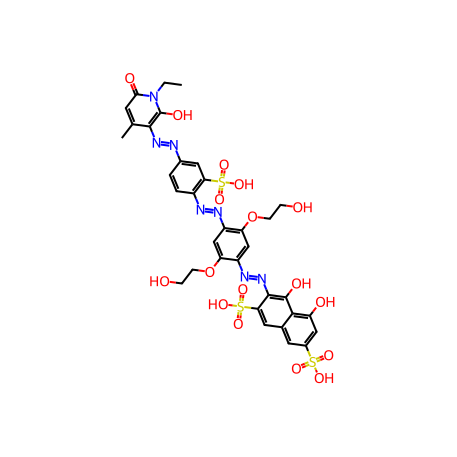 CCn1c(O)c(/N=N/c2ccc(/N=N/c3cc(OCCO)c(/N=N/c4c(S(=O)(=O)O)cc5cc(S(=O)(=O)O)cc(O)c5c4O)cc3OCCO)c(S(=O)(=O)O)c2)c(C)cc1=O